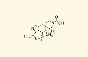 CC(C)n1ncc2c1C(=O)C(C)(C)C1(CCN(C(=O)O)CC1)C2